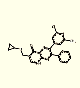 Cc1cc(-c2nc3c(=O)c(COC4CC4)c[nH]c3nc2-c2ccccc2)cc(Cl)n1